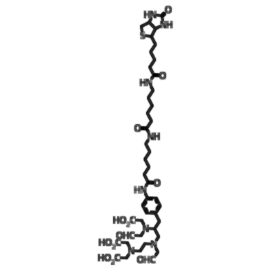 O=CCN(CCN(CC(=O)O)CC(=O)O)CC(Cc1ccc(NC(=O)CCCCCNC(=O)CCCCCNC(=O)CCCCC2SCC3NC(=O)NC32)cc1)N(CC=O)CC(=O)O